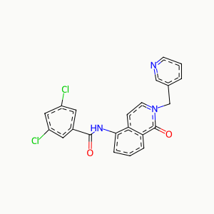 O=C(Nc1cccc2c(=O)n(Cc3cccnc3)ccc12)c1cc(Cl)cc(Cl)c1